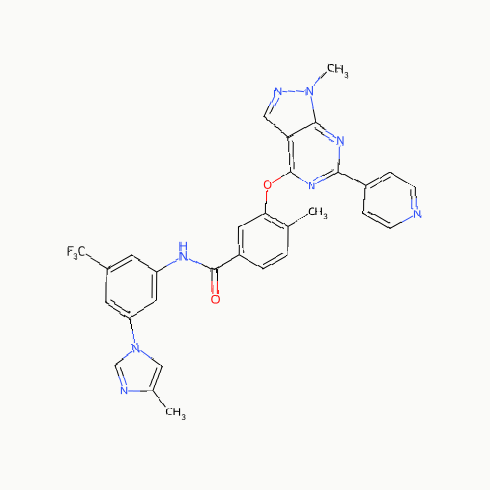 Cc1cn(-c2cc(NC(=O)c3ccc(C)c(Oc4nc(-c5ccncc5)nc5c4cnn5C)c3)cc(C(F)(F)F)c2)cn1